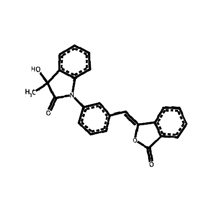 CC1(O)C(=O)N(c2cccc(C=C3OC(=O)c4ccccc43)c2)c2ccccc21